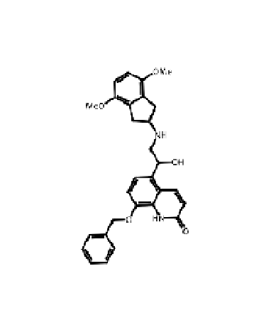 COc1ccc(OC)c2c1CC(NCC(O)c1ccc(OCc3ccccc3)c3[nH]c(=O)ccc13)C2